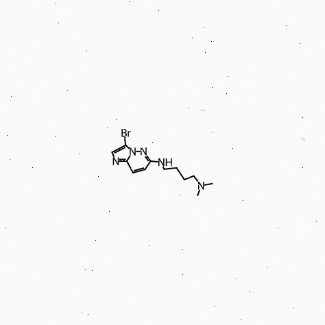 CN(C)CCCCNc1ccc2ncc(Br)n2n1